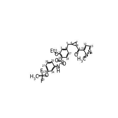 CCOc1cc(CC2CC2C(=O)c2ccnn2C)ccc1S(=O)(=O)Nc1cccc(OC(C)(F)F)c1